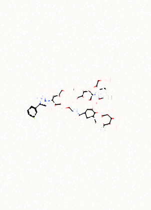 CCC[C@H](OC1C(NC(C)=O)[C@H](O[C@@H]2CC(C(=O)NCCO[C@H]3OC(CO)[C@@H](O)C(n4cc(-c5cccc(F)c5)nn4)C3O)CC(CC)C2O[C@@H]2OC(C)[C@@H](O)C(O)C2O)OC(CO)[C@@H]1O)C(=O)O